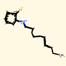 CCCCCCCCNc1ccccc1S